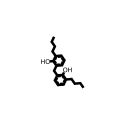 CCCCc1cccc(Cc2cccc(CCCC)c2O)c1O